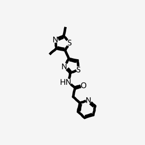 Cc1nc(C)c(-c2csc(NC(=O)Cc3ccccn3)n2)s1